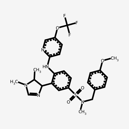 COc1ccc(CN(C)S(=O)(=O)c2ccc(Nc3ccc(OC(F)(F)F)cn3)c(C3N=CN(C)C3C)c2)cc1